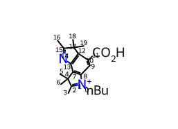 CCCC[N+]1=C(C)C(C)(C)c2c1cc(C(=O)O)c1c2N=C(C)C1(C)C